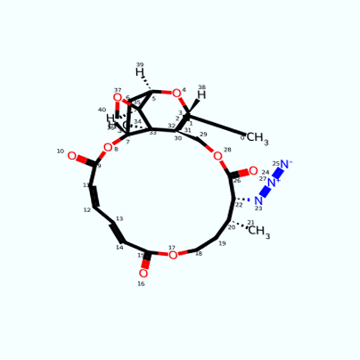 CC1=C[C@H]2O[C@@H]3C[C@H]4OC(=O)/C=C\C=C\C(=O)OCC[C@@H](C)[C@@H](N=[N+]=[N-])C(=O)OC[C@@]2(CC1)[C@]4(C)[C@]31CO1